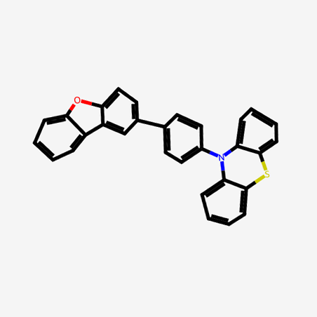 c1ccc2c(c1)Sc1ccccc1N2c1ccc(-c2ccc3oc4ccccc4c3c2)cc1